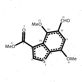 COC(=O)c1csc2c(OC)cc(C=O)c(OC)c12